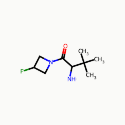 CC(C)(C)C([NH])C(=O)N1CC(F)C1